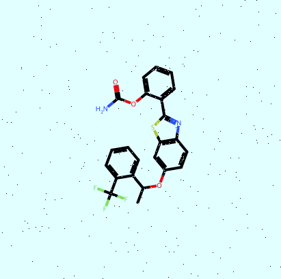 CC(Oc1ccc2nc(-c3ccccc3OC(N)=O)sc2c1)c1ccccc1C(F)(F)F